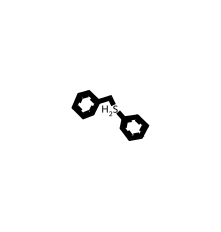 [c]1ccc([SH2]Cc2ccccc2)cc1